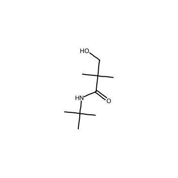 CC(C)(C)NC(=O)C(C)(C)CO